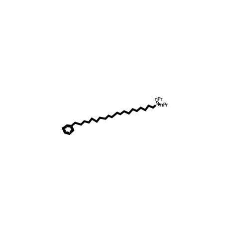 CCCN(CCC)CCCCCCCCCCCCCCCCCCCCc1ccccc1